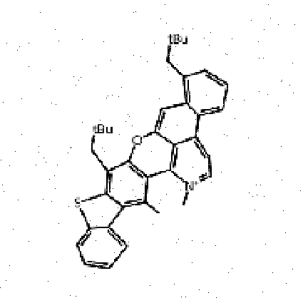 Cc1c2c(c(CC(C)(C)C)c3sc4ccccc4c13)Oc1cc3c(CC(C)(C)C)cccc3c3cc[n+](C)c-2c13